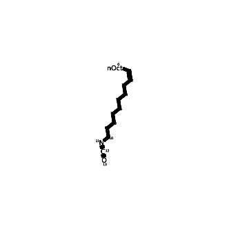 CCCCCCCC/C=C\CCCCCCCCN=C=O